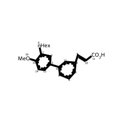 CCCCCCc1cc(-c2cccc(C=CC(=O)O)c2)ccc1OC